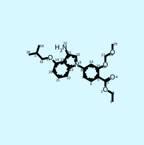 CCOC(=O)c1ccc(-n2cc(N)c3c(OCC(C)C)cccc32)cc1OCOC